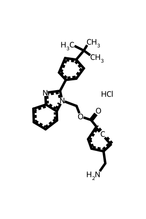 CC(C)(C)c1ccc(-c2nc3ccccc3n2COC(=O)c2ccc(CN)cc2)cc1.Cl